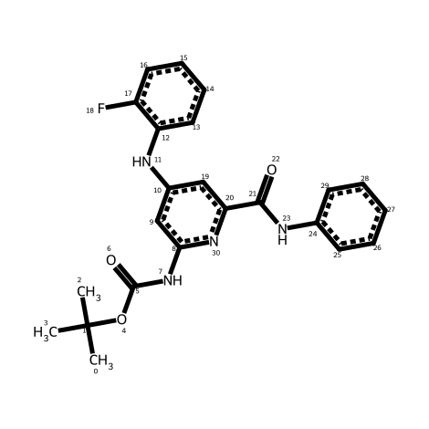 CC(C)(C)OC(=O)Nc1cc(Nc2ccccc2F)cc(C(=O)Nc2ccccc2)n1